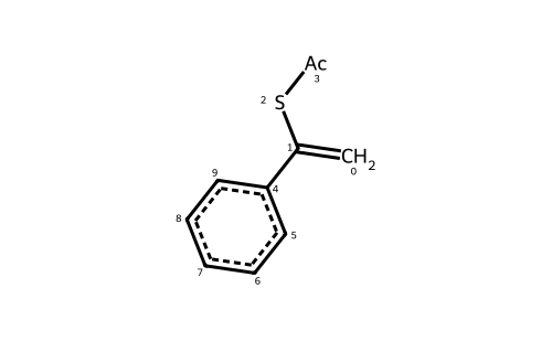 C=C(SC(C)=O)c1ccccc1